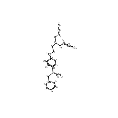 [N-]=[N+]=NCC(CCOc1ccc(C(N)Cc2ccccc2)cc1)CN=[N+]=[N-]